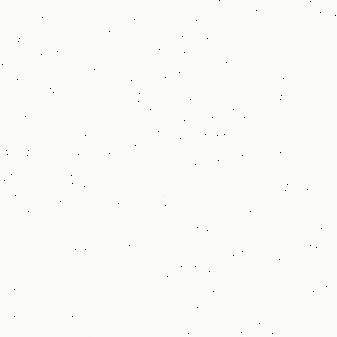 COc1cccc(C(=O)O)c1-c1ccc(Cl)cc1